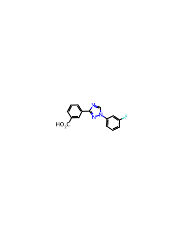 O=C(O)c1cccc(-c2ncn(-c3cccc(F)c3)n2)c1